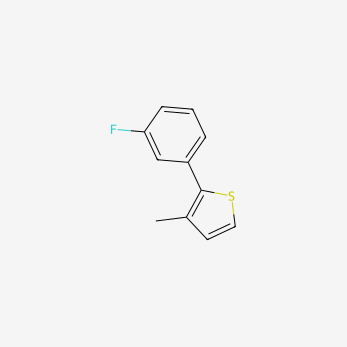 Cc1ccsc1-c1cccc(F)c1